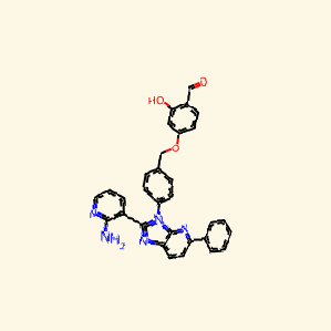 Nc1ncccc1-c1nc2ccc(-c3ccccc3)nc2n1-c1ccc(COc2ccc(C=O)c(O)c2)cc1